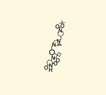 C[C@H]1CN(Cc2ccc3c(c2)C2(CCC2)C(=O)N3C2CCC(=O)NC2=O)CCN1CC1CCN(C(=O)OC(C)(C)C)CC1